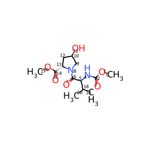 COC(=O)N[C@H](C(=O)N1CC(O)C[C@H]1C(=O)OC)C(C)C